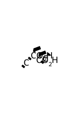 C=C=C.C=C=C.C=CC(=O)O.C=CC(=O)O